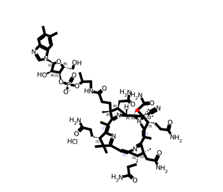 C/C1=C2N=C(/C=C3N=C(/C(C)=C4/[C@@H](CCC(N)=O)[C@](C)(CC(N)=O)[C@](C)([C@@H]5N=C1[C@](C)(CCC(=O)NCC(C)OP(=O)([O-])O[C@H]1[C@@H](O)[C@@H](n6cnc7cc(C)c(C)cc76)O[C@@H]1CO)[C@H]5CC(N)=O)[N]4[Co+][C]#N)[C@@](C)(CC(N)=O)[C@@H]\3CCC(N)=O)C(C)(C)[C@@H]/2CCC(N)=O.Cl